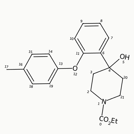 CCOC(=O)N1CCC(O)(c2ccccc2Oc2ccc(C)cc2)CC1